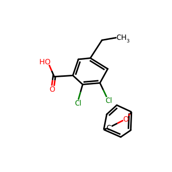 CCc1cc(Cl)c(Cl)c(C(=O)O)c1.c1cc2ccc1CO2